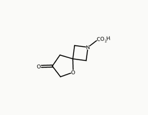 O=C1COC2(C1)CN(C(=O)O)C2